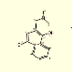 CN(C)Cc1cc(Cl)c2ccccc2c1O